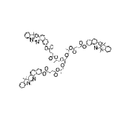 CC(COCC(COCC(C)OC(=O)CCC(=O)Oc1ccc2ccc3c(c2c1)N=CC1(O3)N(C)c2ccccc2C1(C)C)OCC(C)OC(=O)CCC(=O)Oc1ccc2ccc3c(c2c1)N=CC1(O3)N(C)c2ccccc2C1(C)C)OC(=O)CCC(=O)Oc1ccc2ccc3c(c2c1)N=CC1(C3)N(C)c2ccccc2C1(C)C